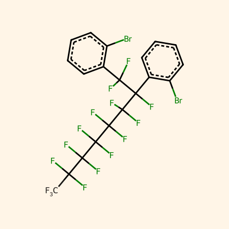 FC(F)(F)C(F)(F)C(F)(F)C(F)(F)C(F)(F)C(F)(F)C(F)(c1ccccc1Br)C(F)(F)c1ccccc1Br